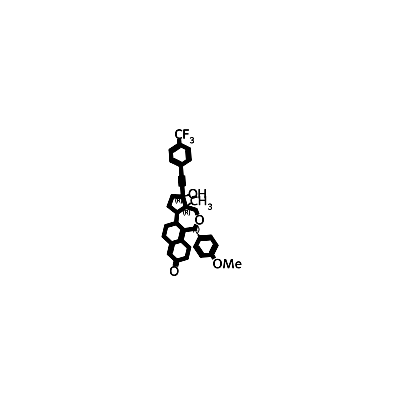 COc1ccc([C@H]2OC[C@@]3(C)C(CC[C@@]3(O)C#Cc3ccc(C(F)(F)F)cc3)C3CCC4=CC(=O)CCC4=C32)cc1